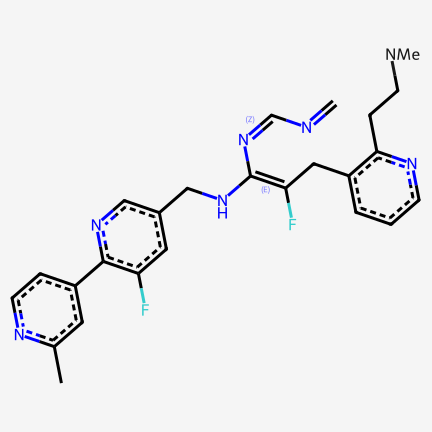 C=N/C=N\C(NCc1cnc(-c2ccnc(C)c2)c(F)c1)=C(\F)Cc1cccnc1CCNC